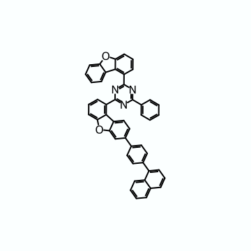 c1ccc(-c2nc(-c3cccc4oc5ccccc5c34)nc(-c3cccc4oc5cc(-c6ccc(-c7cccc8ccccc78)cc6)ccc5c34)n2)cc1